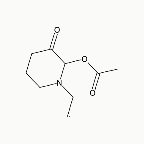 [CH2]CN1CCCC(=O)C1OC(C)=O